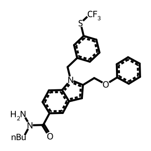 CCCCN(N)C(=O)c1ccc2c(c1)cc(COc1ccccc1)n2Cc1cccc(SC(F)(F)F)c1